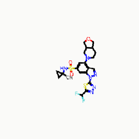 N#CC1(NS(=O)(=O)c2cc(N3CCC4COCC4C3)c3cnn(-c4nnc(C(F)F)s4)c3c2)CC1